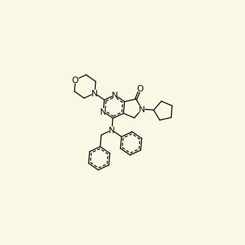 O=C1c2nc(N3CCOCC3)nc(N(Cc3ccccc3)c3ccccc3)c2CN1C1CCCC1